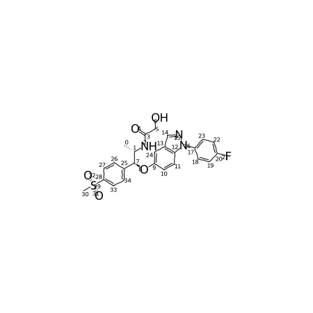 C[C@H](NC(=O)CO)[C@@H](Oc1ccc2c(cnn2-c2ccc(F)cc2)c1)c1ccc(S(C)(=O)=O)cc1